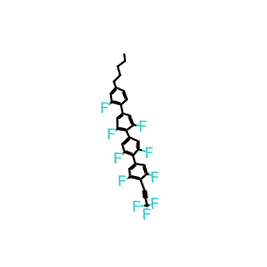 CCCCCc1ccc(-c2cc(F)c(-c3cc(F)c(-c4cc(F)c(C#CC(F)(F)F)c(F)c4)c(F)c3)c(F)c2)c(F)c1